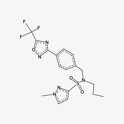 CCCN(Cc1ccc(-c2noc(C(F)(F)F)n2)cc1)S(=O)(=O)c1ccn(C)n1